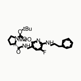 COc1nc(NCCCc2ccccc2)c(F)cc1CNC(=O)[C@@H]1CCCN1C(=O)OC(C)(C)C